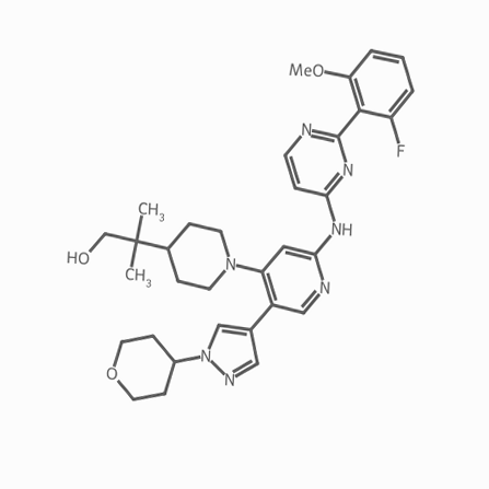 COc1cccc(F)c1-c1nccc(Nc2cc(N3CCC(C(C)(C)CO)CC3)c(-c3cnn(C4CCOCC4)c3)cn2)n1